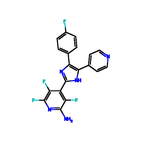 Nc1nc(F)c(F)c(-c2nc(-c3ccc(F)cc3)c(-c3ccncc3)[nH]2)c1F